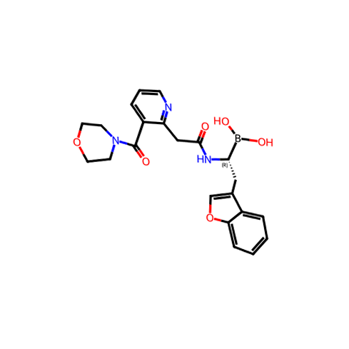 O=C(Cc1ncccc1C(=O)N1CCOCC1)N[C@@H](Cc1coc2ccccc12)B(O)O